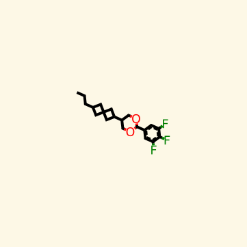 CCCC1CC2(C1)CC(C1COC(c3cc(F)c(F)c(F)c3)OC1)C2